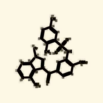 COc1ccc(C(=O)c2cn(C(C)C)c3ncnc(N)c23)cc1NS(=O)(=O)c1cc(C)ccc1C